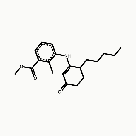 CCCCCC1CCC(=O)C=C1Nc1cccc(C(=O)OC)c1I